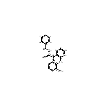 CC(C)(C)c1ccccc1Oc1ncccc1NC(=O)OCc1ccccc1